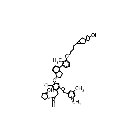 CC1=CN(C)CC(COc2cc(O[C@H]3CCc4c(-c5cccc(OCCCCC6C7CC8(CC(O)C8)CC67)c5C)cccc43)c(Cl)cc2CC2NC2[C@@H]2CCC[C@H]2O)=C1